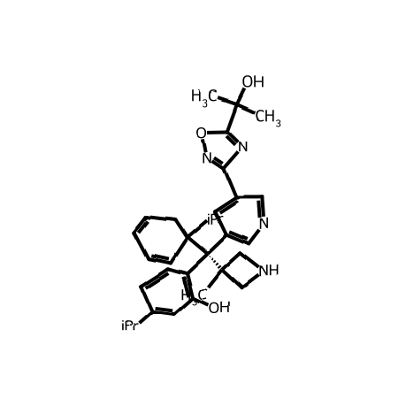 CC(C)c1ccc([C@@](c2cncc(-c3noc(C(C)(C)O)n3)c2)(C2(C)CNC2)C2(C(C)C)C=CC=CC2)c(O)c1